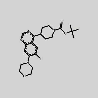 CC(C)(C)OC(=O)N1CCC(c2ncnc3cc(N4CCOCC4)c(F)cc23)CC1